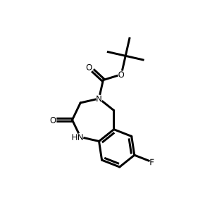 CC(C)(C)OC(=O)N1CC(=O)Nc2ccc(F)cc2C1